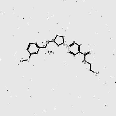 CCOc1cccc([C@@H](C)NC2CC[C@H](c3ccc(C(=O)NCCO)cc3)C2)c1